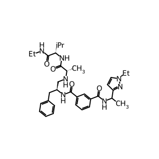 CCNC(=O)[C@@H](NC(=O)[C@H](C)NC[C@H](Cc1ccccc1)NC(=O)c1cccc(C(=O)NC(C)c2ccn(CC)n2)c1)C(C)C